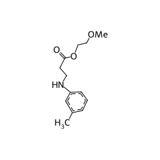 COCCOC(=O)CCNc1cccc(C)c1